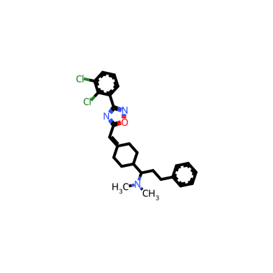 CN(C)C(CCc1ccccc1)C1CCC(=Cc2nc(-c3cccc(Cl)c3Cl)no2)CC1